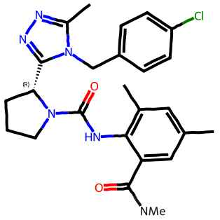 CNC(=O)c1cc(C)cc(C)c1NC(=O)N1CCC[C@@H]1c1nnc(C)n1Cc1ccc(Cl)cc1